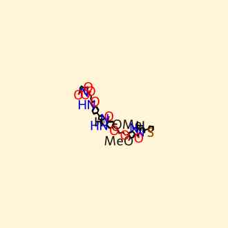 COc1cc2c(cc1OCCCOc1cc3c(cc1OC)C(=O)N1C=C(c4ccc(NC(=O)CCC(=O)ON5C(=O)CCC5=O)cc4)C[C@H]1CN3)N=C[C@@H]1CC(c3cccs3)=CN1C2=O